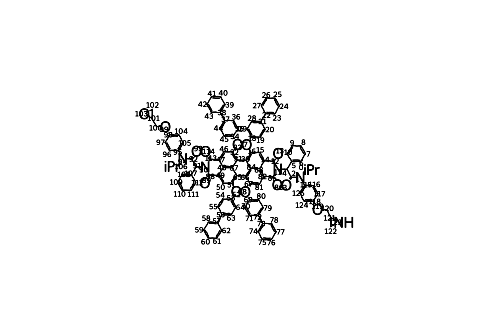 CC(C)N(C(=O)C(c1ccccc1)N1C(=O)c2cc(Oc3ccc(-c4ccccc4)cc3)c3c4c(Oc5ccc(-c6ccccc6)cc5)cc5c6c(cc(Oc7ccc(-c8ccccc8)cc7)c(c7c(Oc8ccc(-c9ccccc9)cc8)cc(c2c37)C1=O)c64)C(=O)N(C(C(=O)N(c1ccc(OCC2CO2)cc1)C(C)C)c1ccccc1)C5=O)c1ccc(OCC2CN2)cc1